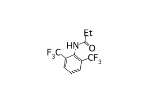 [CH2]CC(=O)Nc1c(C(F)(F)F)cccc1C(F)(F)F